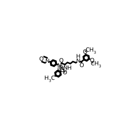 COc1cc(OC)cc(C(=O)NCCCCC(NS(=O)(=O)c2ccc(C)cc2)C(=O)Nc2ccc(N3CCOCC3)cc2)c1